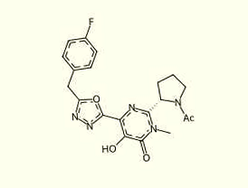 CC(=O)N1CCC[C@H]1c1nc(-c2nnc(Cc3ccc(F)cc3)o2)c(O)c(=O)n1C